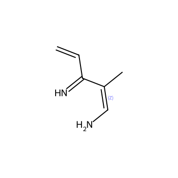 C=CC(=N)/C(C)=C\N